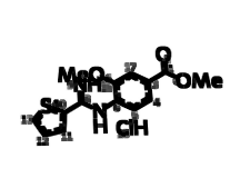 COC(=O)c1ccc(NC(=N)c2cccs2)c(OC)c1.Cl